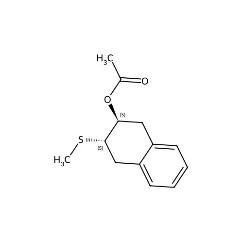 CS[C@H]1Cc2ccccc2C[C@@H]1OC(C)=O